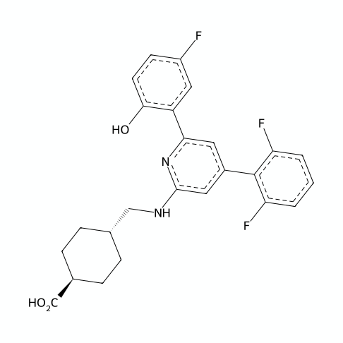 O=C(O)[C@H]1CC[C@H](CNc2cc(-c3c(F)cccc3F)cc(-c3cc(F)ccc3O)n2)CC1